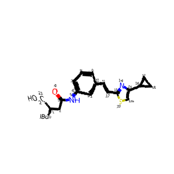 CCC(C)C(CC(=O)Nc1cccc(C=Cc2nc(C3CC3)cs2)c1)C(=O)O